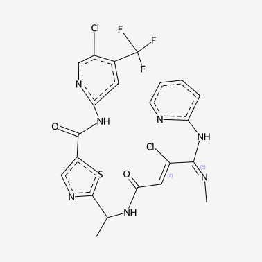 C/N=C(Nc1ccccn1)\C(Cl)=C\C(=O)NC(C)c1ncc(C(=O)Nc2cc(C(F)(F)F)c(Cl)cn2)s1